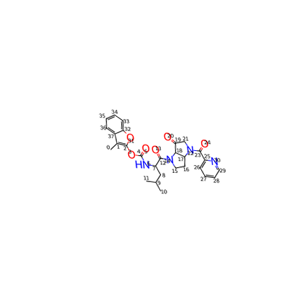 Cc1c(OC(=O)NC(CC(C)C)C(=O)N2CCC3C2C(=O)CN3C(=O)c2ccccn2)oc2ccccc12